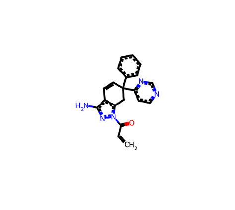 C=CC(=O)n1nc(N)c2c1CC(c1ccccc1)(c1ccncn1)C=C2